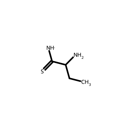 CCC(N)C([NH])=S